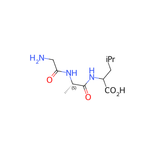 CC(C)CC(NC(=O)[C@H](C)NC(=O)CN)C(=O)O